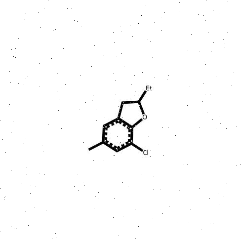 CCC1Cc2cc(C)cc(Cl)c2O1